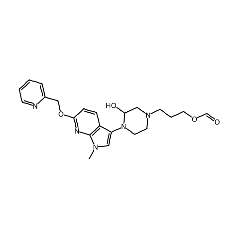 Cn1cc(N2CCN(CCCOC=O)CC2O)c2ccc(OCc3ccccn3)nc21